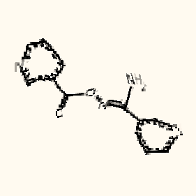 NC(=NOC(=O)c1cccnc1)c1cccnc1